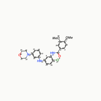 COc1ccc(C(=O)Nc2cc(Nc3cccc(N4CCOCC4)c3)ccc2Cl)cc1OC